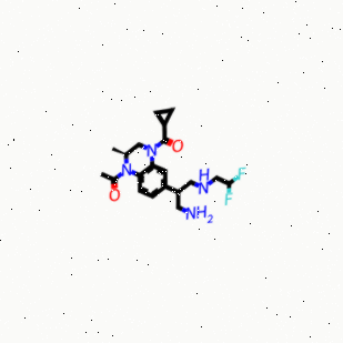 CC(=O)N1c2ccc(C(CN)CNCC(F)F)cc2N(C(=O)C2CC2)C[C@@H]1C